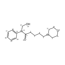 O=C(CCCCN1CCOCC1)N(CO)c1ccccc1